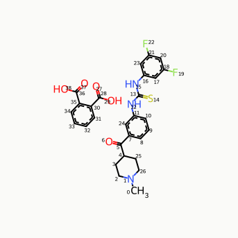 CN1CCC(C(=O)c2cccc(NC(=S)Nc3cc(F)cc(F)c3)c2)CC1.O=C(O)c1ccccc1C(=O)O